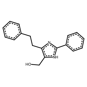 OCc1[nH]c(-c2ccccc2)nc1CCc1ccccc1